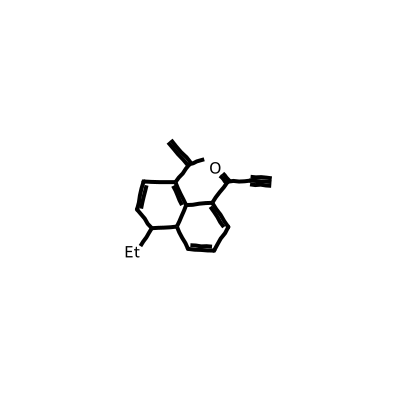 C#CC(=O)C1=CC=CC2C1=C(C(=C)C)C=CC2CC